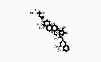 CC(C)C1=C2[C@H]3CCC4[C@@H](CCC5C(C)(C)[C@@H](OC(=O)CC(C)(C)C(=O)O)CC[C@]45C)[C@]3(C)CC[C@@]2([C@H](O)CN(CCN(C)C)Cc2ccccc2)CC1=O